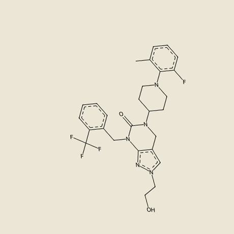 Cc1cccc(F)c1N1CCC(N2Cc3cn(CCO)nc3N(Cc3ccccc3C(F)(F)F)C2=O)CC1